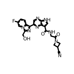 N#CC1CN(C(=O)CNC(=O)c2c[nH]c3ncc(-c4nc(CO)n5cc(F)ccc45)nc23)C1